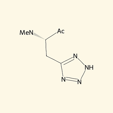 CN[C@@H](Cc1nn[nH]n1)C(C)=O